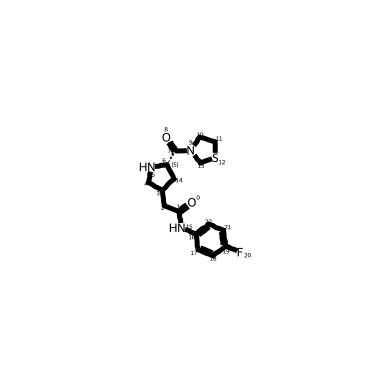 O=C(CC1CN[C@H](C(=O)N2CCSC2)C1)Nc1ccc(F)cc1